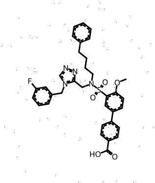 COc1ccc(-c2ccc(C(=O)O)cc2)cc1S(=O)(=O)N(CCCCc1ccccc1)Cc1nncn1Cc1cccc(F)c1